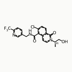 C[C@H](CO)n1ccc2c(C(=O)NCc3ccc(C(F)(F)F)nc3)c(Cl)ccc2c1=O